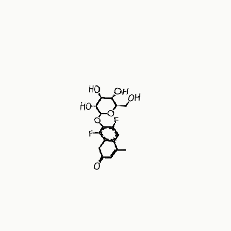 CC1=CC(=O)Cc2c1cc(F)c(O[C@@H]1O[C@H](CO)[C@H](O)[C@H](O)[C@H]1O)c2F